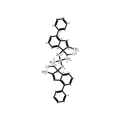 CC1=Cc2c(-c3ccccc3)cccc2[C]1(CCl)[Zr][Si](C)(C)[Zr][C]1(CCl)C(C)=Cc2c(-c3ccccc3)cccc21